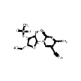 C#Cc1cn([C@@H]2O[C@H](CO)[C@H](OS(C)(=O)=O)[C@H]2O)c(=O)nc1N